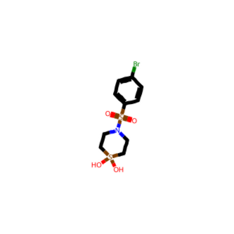 O=S(=O)(c1ccc(Br)cc1)N1CCS(O)(O)CC1